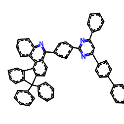 c1ccc(-c2ccc(-c3cc(-c4ccccc4)nc(-c4ccc(-c5nc6ccccc6c6c7c(ccc56)C(c5ccccc5)(c5ccccc5)c5ccccc5-7)cc4)n3)cc2)cc1